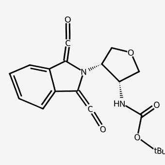 CC(C)(C)OC(=O)N[C@H]1COC[C@H]1n1c(=C=O)c2ccccc2c1=C=O